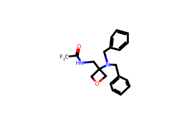 O=C(NCC1(N(Cc2ccccc2)Cc2ccccc2)COC1)C(F)(F)F